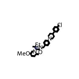 C=C1C=CC(OC)=CN1/C(C(=O)NCc1ccc(N2CCC(c3ccc(Cl)cc3)CC2)cc1)=C(\C)CC